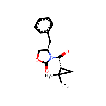 CC1(C)C[C@H]1C(=O)N1C(=O)OC[C@H]1Cc1ccccc1